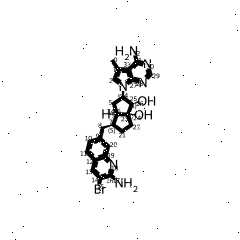 Cc1cn([C@@H]2C[C@@H]3[C@H](Cc4ccc5cc(Br)c(N)nc5c4)CC[C@]3(O)[C@H]2O)c2ncnc(N)c12